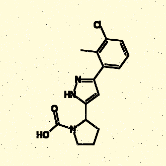 Cc1c(Cl)cccc1-c1cc(C2CCCN2C(=O)O)[nH]n1